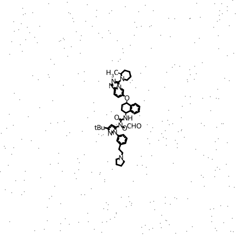 C[C@H]1CCCCN1c1nnc2ccc(O[C@@H]3CC[C@H](NC(=O)N(OC=O)c4cc(C(C)(C)C)nn4-c4cccc(CCN5CCCC5)c4)c4ccccc43)cn12